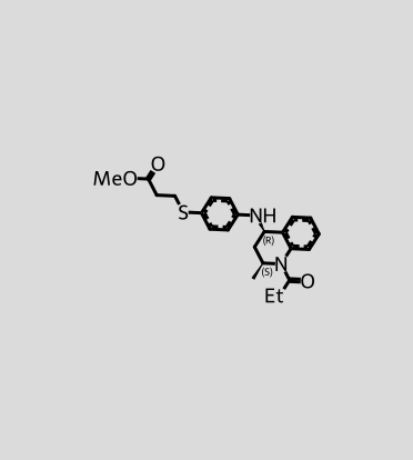 CCC(=O)N1c2ccccc2[C@H](Nc2ccc(SCCC(=O)OC)cc2)C[C@@H]1C